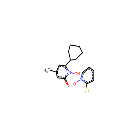 Cc1cc(C2CCCCC2)n(O)c(=O)c1.[O-][n+]1ccccc1S